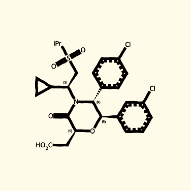 CC(C)S(=O)(=O)C[C@H](C1CC1)N1C(=O)[C@H](CC(=O)O)O[C@H](c2cccc(Cl)c2)[C@H]1c1ccc(Cl)cc1